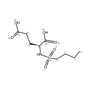 CCCCS(=O)(=O)N[C@@H](CCC(=O)O)C(=O)O